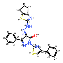 O=C1/C(=N\Nc2nc3c(s2)CCC3)C(c2ccccc2)=NN1c1nc(-c2ccccc2)cs1